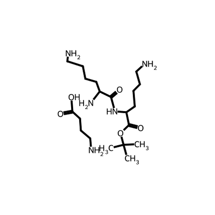 CC(C)(C)OC(=O)C(CCCCN)NC(=O)C(N)CCCCN.NCCCC(=O)O